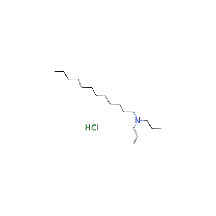 CCCCCCCCCCCCN(CCC)CCC.Cl